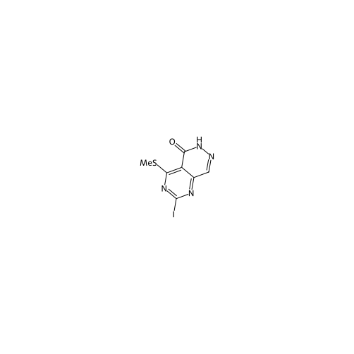 CSc1nc(I)nc2cn[nH]c(=O)c12